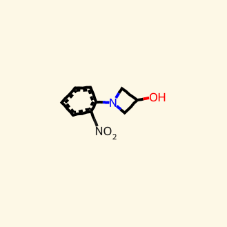 O=[N+]([O-])c1ccccc1N1CC(O)C1